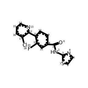 O=C(Nc1nccs1)c1ccc(-c2ncccc2Cl)c(F)c1